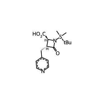 CC(C)(C)S(C)(C)N1C(=O)[C@H](Cc2ccncc2)[C@H]1C(=O)O